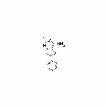 Cc1nc(N)c2oc(-c3ccccn3)cc2n1